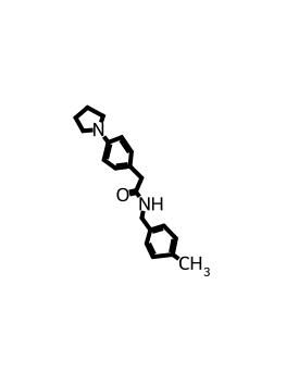 Cc1ccc(CNC(=O)Cc2ccc(N3CCCC3)cc2)cc1